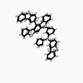 c1ccc(N(c2cccc(-n3c4ccccc4c4c(-c5ccc6sc7ccccc7c6c5)c5c(cc43)oc3ccccc35)c2)c2ccc3sc4ccccc4c3c2)cc1